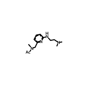 CC(=O)N(C)Cc1cccc(NCCN(C)C)n1